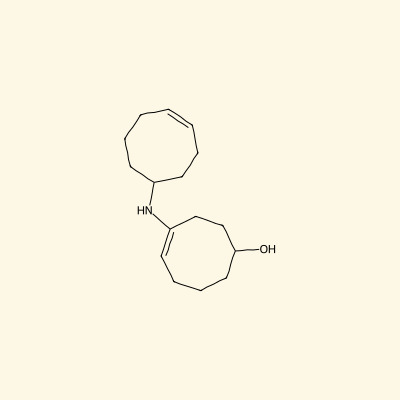 OC1CCCC=C(NC2CCC=CCCC2)CC1